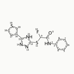 O=C(Nc1ccccc1)C(F)Sc1nnc(-c2ccsc2)[nH]1